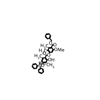 COc1cc(OC(=O)c2c(C)cc(O[Si](c3ccccc3)(c3ccccc3)C(C)(C)C)c(C)c2O)c(C)c(C)c1C(=O)OCc1ccccc1